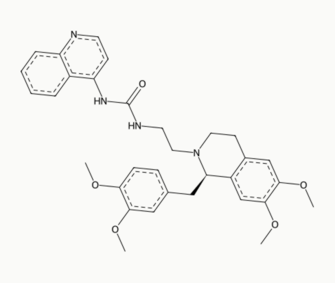 COc1ccc(C[C@@H]2c3cc(OC)c(OC)cc3CCN2CCNC(=O)Nc2ccnc3ccccc23)cc1OC